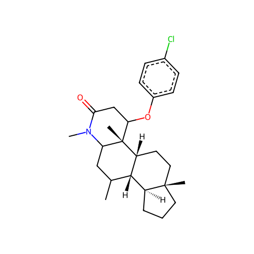 CC1CC2N(C)C(=O)CC(Oc3ccc(Cl)cc3)[C@]2(C)[C@@H]2CC[C@]3(C)CCC[C@H]3[C@H]12